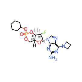 C[C@@]1(F)[C@@H]2OP(=O)(OC3CCCCC3)OC[C@H]2O[C@H]1n1cnc2c(N3CCC3)nc(N)nc21